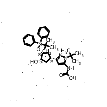 CC(C)(C)n1nc([C@@H]2C[C@H](O)[C@H](O[Si](c3ccccc3)(c3ccccc3)C(C)(C)C)C2)cc1NC(=O)O